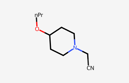 [CH2]CCOC1CCN(CC#N)CC1